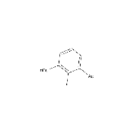 CCCCc1cccc(C(C)=O)c1C